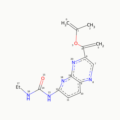 C=C(C)OC(=C)c1cnc2ccc(NC(=O)NCC)nc2n1